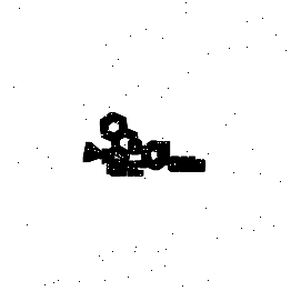 COc1cc(C=O)c(OCC2CCCCC2c2ccnn2C2CC2)cn1